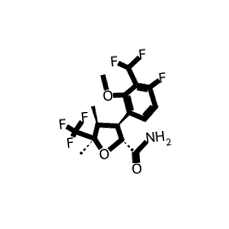 COc1c([C@H]2[C@H](C(N)=O)O[C@@](C)(C(F)(F)F)[C@H]2C)ccc(F)c1C(F)F